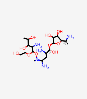 CC(O)C(O)C(N)C(OCCO)ON(C)C(N)CC(N)[C@@H](O)OC1OC([C@H](C)N)C(O)C1O